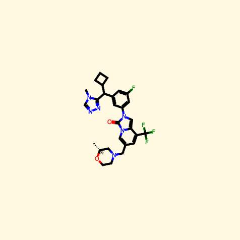 C[C@@H]1CN(Cc2cc(C(F)(F)F)c3cn(-c4cc(F)cc(C(c5nncn5C)C5CCC5)c4)c(=O)n3c2)CCO1